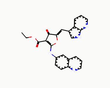 CCOC(=O)C1=C(Nc2ccc3ncccc3c2)OC(=Cc2c[nH]c3ncccc23)C1=O